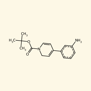 CC(C)(C)OC(=O)N1C=CC(c2cccc(N)c2)=CC1